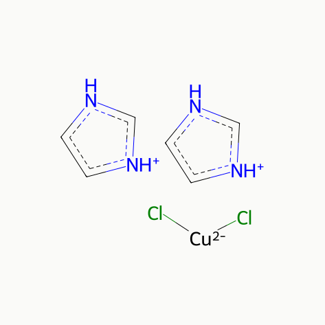 [Cl][Cu-2][Cl].c1c[nH+]c[nH]1.c1c[nH+]c[nH]1